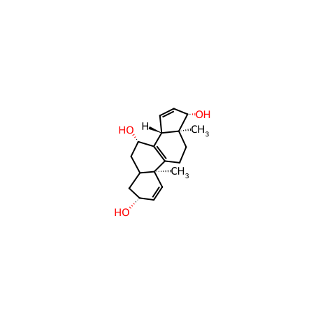 C[C@]12CCC3=C([C@@H](O)CC4C[C@@H](O)C=C[C@]34C)[C@@H]1C=C[C@@H]2O